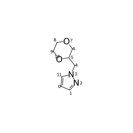 c1cnn(CC2COCCO2)c1